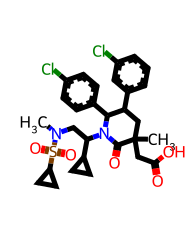 CN(CC(C1CC1)N1C(=O)C(C)(CC(=O)O)CC(c2cccc(Cl)c2)C1c1ccc(Cl)cc1)S(=O)(=O)C1CC1